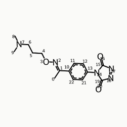 C/C(=N\OCCCN(C)C)c1ccc(N2C(=O)N=NC2=O)cc1